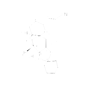 N#CCC[C@H]1CC[C@@H]2O[C@@H]3CC2(C[C@H]2OC4(CCCCC4)O[C@@H]32)O1